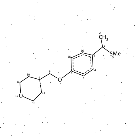 CSC(C)c1ccc(OCC2CCOCC2)cc1